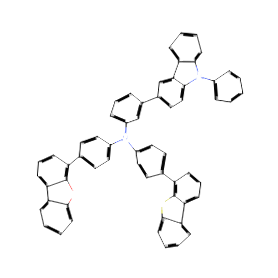 c1ccc(-n2c3ccccc3c3cc(-c4cccc(N(c5ccc(-c6cccc7c6oc6ccccc67)cc5)c5ccc(-c6cccc7c6sc6ccccc67)cc5)c4)ccc32)cc1